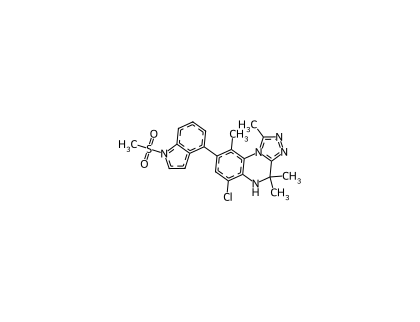 Cc1c(-c2cccc3c2ccn3S(C)(=O)=O)cc(Cl)c2c1-n1c(C)nnc1C(C)(C)N2